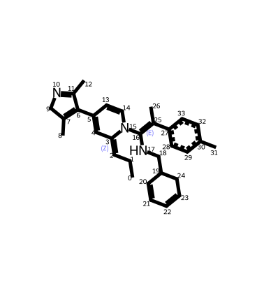 CC/C=C1/C=C(C2=C(C)CN=C2C)C=CN1/C(NCC1C=CC=CC1)=C(\C)c1ccc(C)cc1